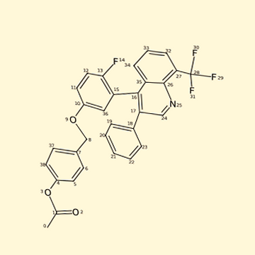 CC(=O)Oc1ccc(COc2ccc(F)c(-c3c(-c4ccccc4)cnc4c(C(F)(F)F)cccc34)c2)cc1